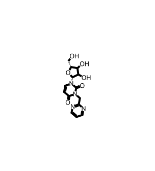 O=c1ccn([C@@H]2O[C@H](CO)C(O)C2O)c(=O)n1Cc1ncccn1